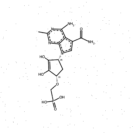 Cc1nc(N)c2c(C(N)=O)cn([C@@H]3C[C@H](OCP(=O)(O)O)C(O)=C3O)c2n1